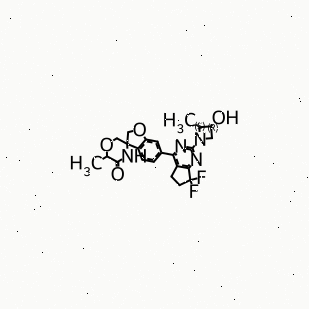 CC1OCC2(COc3cc(-c4nc(N5C[C@@H](O)[C@@H]5C)nc5c4CCC5(F)F)ccc32)NC1=O